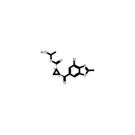 CC(=O)OC(C)OC(=O)[C@H]1C[C@@H]1C(=O)c1cc(Cl)c2nc(C)oc2c1